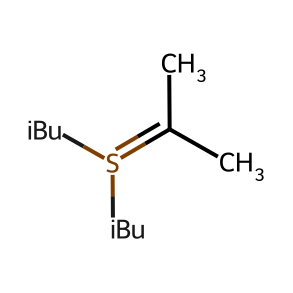 CCC(C)S(=C(C)C)C(C)CC